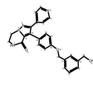 O=C1NCCn2nc(-c3ccncc3)c(-c3ccc(OCc4cccc(CO)c4)cc3)c21